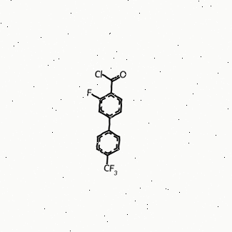 O=C(Cl)c1ccc(-c2ccc(C(F)(F)F)cc2)cc1F